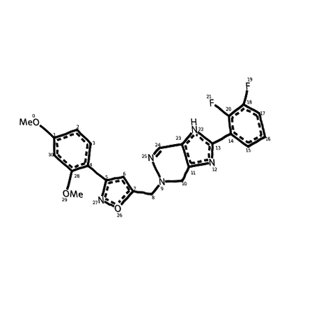 COc1ccc(-c2cc(CN3Cc4nc(-c5cccc(F)c5F)[nH]c4C=N3)on2)c(OC)c1